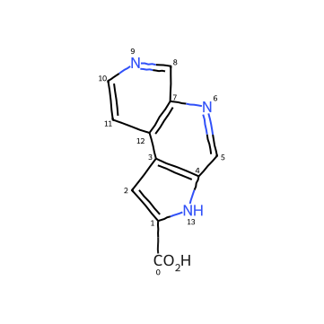 O=C(O)c1cc2c(cnc3cnccc32)[nH]1